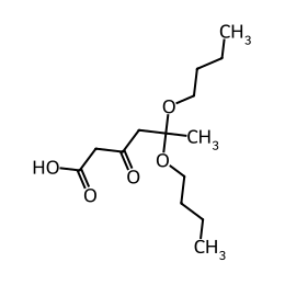 CCCCOC(C)(CC(=O)CC(=O)O)OCCCC